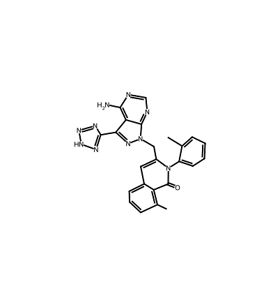 Cc1ccccc1-n1c(Cn2nc(-c3nn[nH]n3)c3c(N)ncnc32)cc2cccc(C)c2c1=O